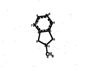 CN1Cc2cncnc2C1